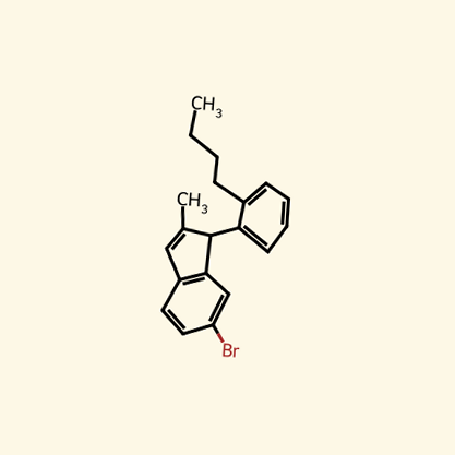 CCCCc1ccccc1C1C(C)=Cc2ccc(Br)cc21